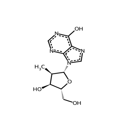 C[C@@H]1[C@H](O)[C@@H](CO)O[C@H]1n1cnc2c(O)ncnc21